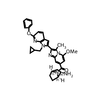 COc1cc(C(=O)N2[C@H]3CC[C@@H]2[C@H](N)C3)cc2nc(-c3cc4ccc(Oc5ccccc5)nc4n3CC3CC3)c(C)n12